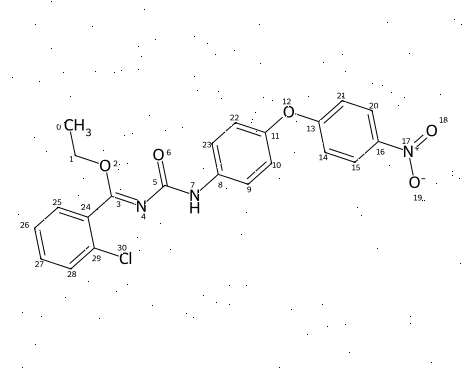 CCO/C(=N\C(=O)Nc1ccc(Oc2ccc([N+](=O)[O-])cc2)cc1)c1ccccc1Cl